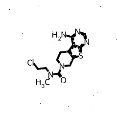 CN(CCCl)C(=O)N1CCc2c(sc3ncnc(N)c23)C1